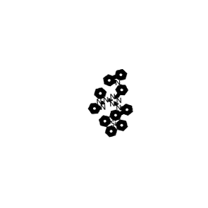 c1ccc([Si](c2ccccc2)(c2ccccc2)c2ccc3c(c2)c2ccccc2n3-c2nc(-c3cccc(-n4c5ccccc5c5ccccc54)c3)nc(-n3c4ccccc4n4c5ccccc5nc34)n2)cc1